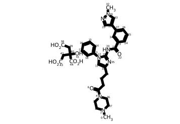 CN1CCN(C(=O)CCCc2cn(-c3ccccc3)c(NC(=O)c3cccc(-c4cnn(C)c4)c3)n2)CC1.O=C(O)CC(O)(CC(=O)O)C(=O)O